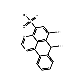 O=S(=O)(O)c1cc(O)c2c3c(ncnc13)-c1ccccc1C2O